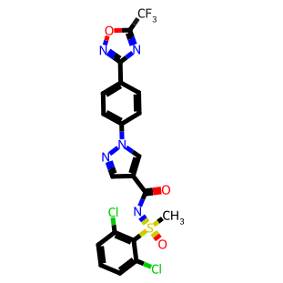 CS(=O)(=NC(=O)c1cnn(-c2ccc(-c3noc(C(F)(F)F)n3)cc2)c1)c1c(Cl)cccc1Cl